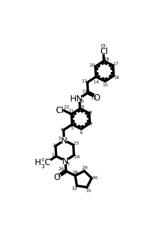 CC1CN(Cc2cccc(NC(=O)Cc3cccc(Cl)c3)c2Cl)CCN1C(=O)C1CCCC1